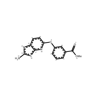 COC(=O)c1cccc(Oc2ccc3nc(N)sc3n2)c1